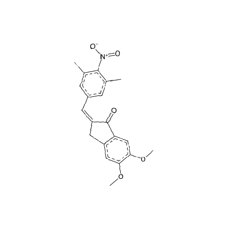 COc1cc2c(cc1OC)C(=O)C(=Cc1cc(C)c([N+](=O)[O-])c(C)c1)C2